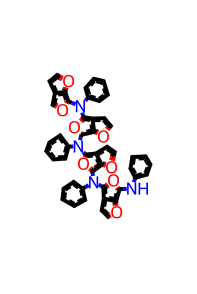 c1ccc(Nc2oc(N(c3ccccc3)c3oc(N(c4ccccc4)c4oc(N(c5ccccc5)c5occ6ccoc56)c5ccoc45)c4ccoc34)c3ccoc23)cc1